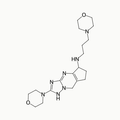 C(CNC1CCC2=C1N=C1N=C(N3CCOCC3)NN1C2)CN1CCOCC1